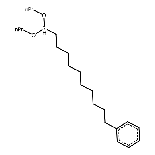 CCCO[SiH](CCCCCCCCCCc1ccccc1)OCCC